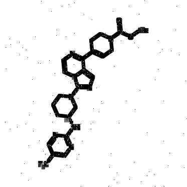 CC(C)(C)OC(=O)N1CC=C(c2nccn3c(N4CCC[C@@H](Nc5ncc(C(F)(F)F)cn5)C4)ncc23)CC1